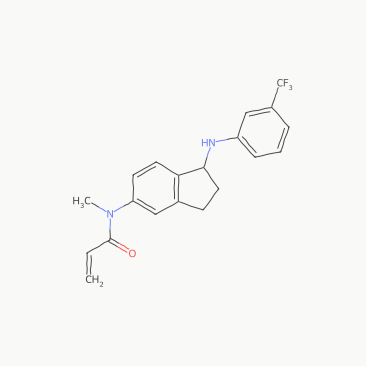 C=CC(=O)N(C)c1ccc2c(c1)CCC2Nc1cccc(C(F)(F)F)c1